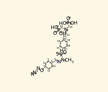 CN(/N=C/c1ccc(ON=[N+]=[N-])cc1)[PH](=S)Oc1ccc(CCN(CP(=O)(O)O)CP(=O)(O)O)cc1